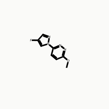 COc1ccc(-n2cc(F)cn2)nn1